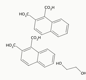 O=C(O)c1ccc2ccccc2c1C(=O)O.O=C(O)c1ccc2ccccc2c1C(=O)O.OCCO